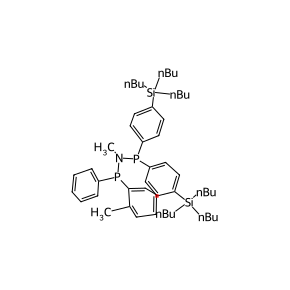 CCCC[Si](CCCC)(CCCC)c1ccc(P(c2ccc([Si](CCCC)(CCCC)CCCC)cc2)N(C)P(c2ccccc2)c2ccccc2C)cc1